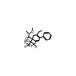 CCC1=C(c2ccccc2)C=CC(C(=O)N(C)OC)(C(O)(C(F)(F)F)C(F)(F)F)C1